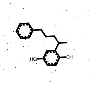 CC(CCCc1ccccc1)c1cc(O)ccc1O